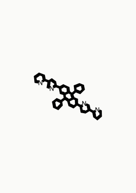 c1ccc(-c2c3ccc(-c4ccc(-c5ccccn5)cn4)cc3c(-c3ccccc3)c3ccc(-c4ccc(-c5ccccn5)cn4)cc23)cc1